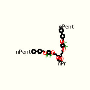 CCCCCC1CCC(C2CCC(COc3ccc(OCCCCC4(CCCCOc5ccc(OCC6CCC(C7CCC(CCCCC)CC7)CC6)c(F)c5F)OCC(CCC)CO4)c(F)c3F)CC2)CC1